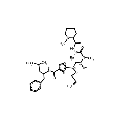 C=CCO[C@H](C[C@H](C(C)C)N(C)C(=O)[C@@H](NC(=O)C1CCCCN1C)[C@@H](C)CC)c1nc(C(=O)NC(Cc2ccccc2)CC(C)C(=O)O)cs1